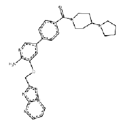 Nc1ncc(-c2ccc(C(=O)N3CCC(N4CCCC4)CC3)cc2)cc1OCc1nc2ncccn2n1